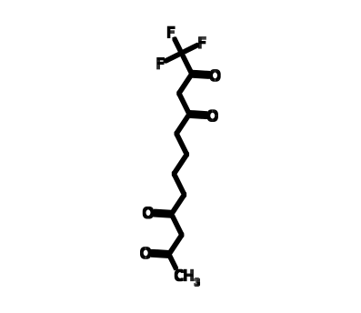 CC(=O)CC(=O)CCCCC(=O)CC(=O)C(F)(F)F